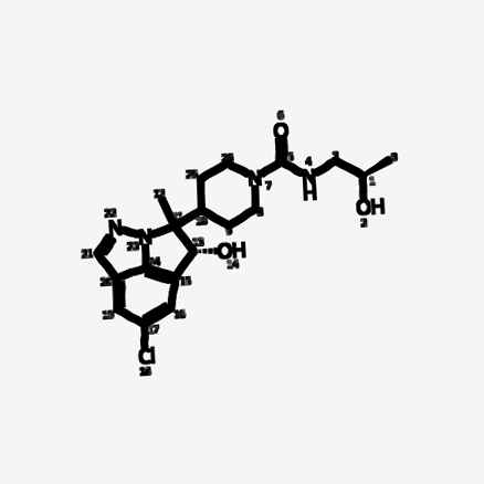 C[C@@H](O)CNC(=O)N1CCC(C2(C)[C@H](O)c3cc(Cl)cc4cnn2c34)CC1